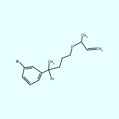 C=CC(C)OCCCC(C)(C(C)=O)c1cccc(Br)c1